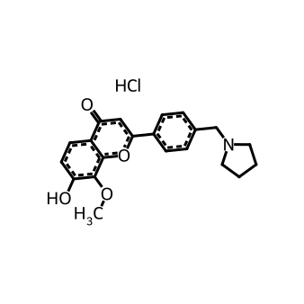 COc1c(O)ccc2c(=O)cc(-c3ccc(CN4CCCC4)cc3)oc12.Cl